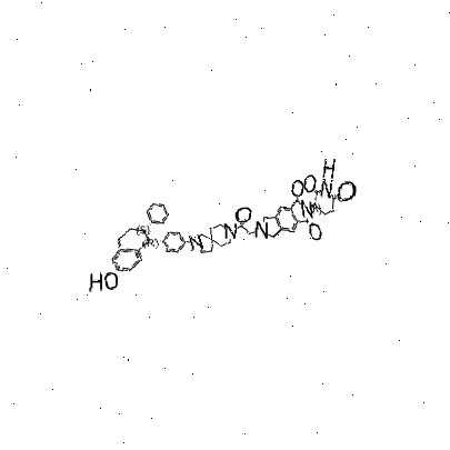 O=C1CC[C@@H](N2C(=O)c3cc4c(cc3C2=O)CN(CC(=O)N2CCC3(CC2)CCN(c2ccc([C@@H]5c6ccc(O)cc6CC[C@@H]5c5ccccc5)cc2)C3)C4)C(=O)N1